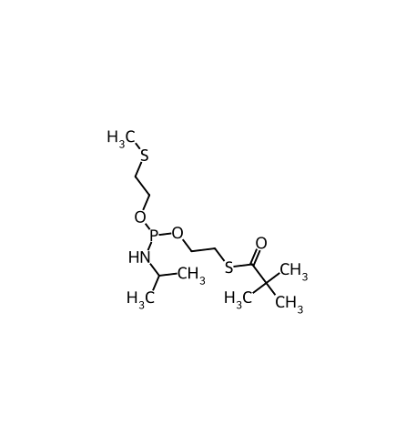 CSCCOP(NC(C)C)OCCSC(=O)C(C)(C)C